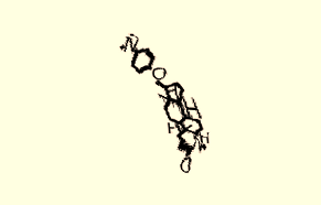 CN(C)c1ccc(OCC2CC[C@H]3[C@@H]4CC[C@H]5N(C)C(=O)CC[C@]5(C)[C@H]4CC[C@]23C)cc1